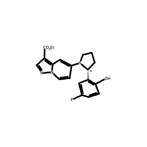 CCOC(=O)c1cnn2ccc(N3CCC[C@@H]3c3cc(F)ccc3O)cc12